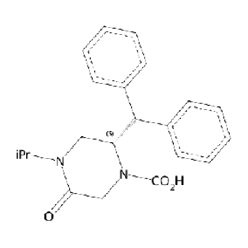 CC(C)N1C[C@H](C(c2ccccc2)c2ccccc2)N(C(=O)O)CC1=O